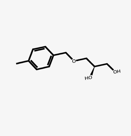 Cc1ccc(COC[C@H](O)CO)cc1